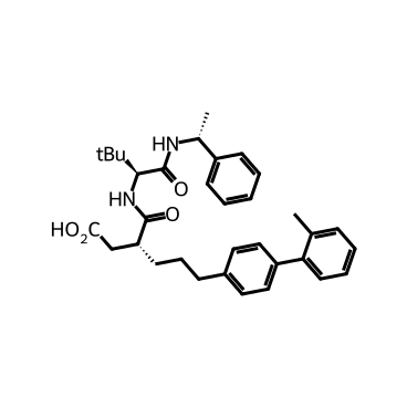 Cc1ccccc1-c1ccc(CCC[C@H](CC(=O)O)C(=O)N[C@H](C(=O)N[C@H](C)c2ccccc2)C(C)(C)C)cc1